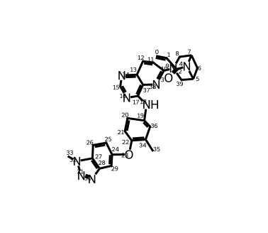 C=CC(=O)N1C2CC1CN(c1ccc3ncnc(Nc4ccc(Oc5ccc6c(c5)nnn6C)c(C)c4)c3n1)C2